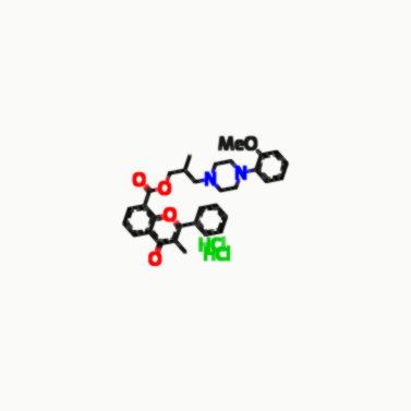 COc1ccccc1N1CCN(CC(C)COC(=O)c2cccc3c(=O)c(C)c(-c4ccccc4)oc23)CC1.Cl.Cl